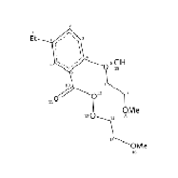 CCc1ccc(OCCOC)c(C(=O)OOCCOC)c1.Cl